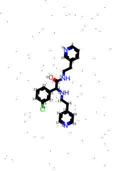 O=C(NCCc1cccnc1)C(NCCc1ccncc1)c1cccc(Cl)c1